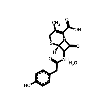 CC1=C(C(=O)O)N2C(=O)C(NC(=O)Cc3ccc(O)cc3)[C@@H]2SC1.O